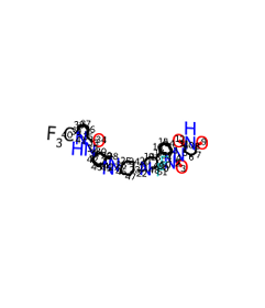 Cn1c(=O)n(C2CCC(=O)NC2=O)c2cccc(C3CCN(C[C@H]4CC[C@H](n5cc6cc(NC(=O)c7cccc(C(F)(F)F)n7)ccc6n5)CC4)CC3(F)F)c21